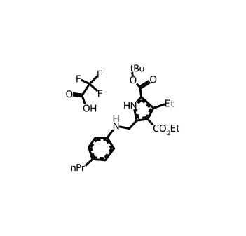 CCCc1ccc(NCc2[nH]c(C(=O)OC(C)(C)C)c(CC)c2C(=O)OCC)cc1.O=C(O)C(F)(F)F